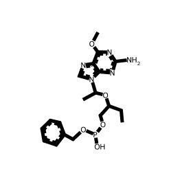 CCC(COP(O)OCc1ccccc1)OC(C)n1cnc2c(OC)nc(N)nc21